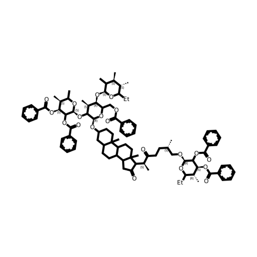 CCC1O[C@@H](O[C@H]2C(COC(=O)c3ccccc3)O[C@@H](OC3CCC4(C)C(CCC5C4CCC4(C)C5CC(=O)C4[C@H](C)C(=O)CC[C@H](C)CO[C@@H]4OC(CC)[C@@H](C)[C@H](OC(=O)c5ccccc5)C4OC(=O)c4ccccc4)C3)C(O[C@@H]3OC(C)[C@H](C)[C@H](OC(=O)c4ccccc4)C3OC(=O)c3ccccc3)[C@H]2C)C(C)[C@@H](C)[C@@H]1C